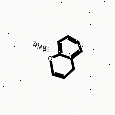 C1=COc2ccccc2C1.[Al].[Mn].[Zn]